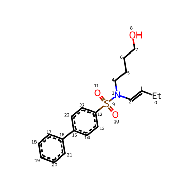 CC/C=C/N(CCCCO)S(=O)(=O)c1ccc(-c2ccccc2)cc1